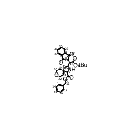 CC(C)(C)OC(=O)C(C1NC(C(=O)OCc2ccccc2)C2(CCOCC2)S1)N1C(=O)c2ccccc2C1=O